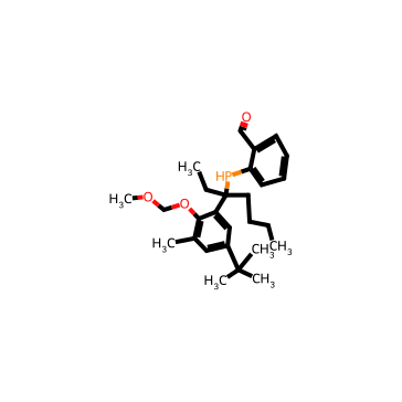 CCCCC(CC)(Pc1ccccc1C=O)c1cc(C(C)(C)C)cc(C)c1OCOC